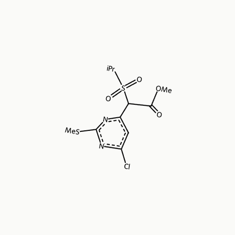 COC(=O)C(c1cc(Cl)nc(SC)n1)S(=O)(=O)C(C)C